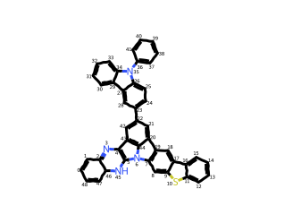 C1=CC2=Nc3c(n4c5cc6sc7ccccc7c6cc5c5cc(-c6ccc7c(c6)c6ccccc6n7-c6ccccc6)cc3c54)NC2C=C1